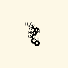 COC(=O)c1ccnc2cc(C(=O)C3CCc4ccccc4N3)[nH]c12